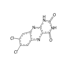 O=c1[nH]c(=O)c2nc3cc(Cl)c(Cl)cc3nc2[nH]1